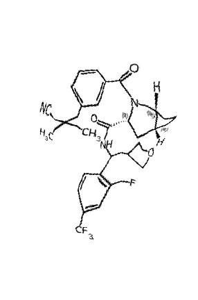 CC(C)(C#N)c1cccc(C(=O)N2[C@@H](C(=O)NC(c3ccc(C(F)(F)F)cc3F)C3COC3)C[C@H]3C[C@H]32)c1